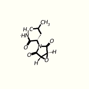 CC(C)C[C@@H](C([NH])=O)N1C(=O)[C@H]2O[C@@H]2C1=O